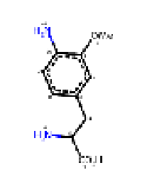 COc1cc(CC(N)C(=O)O)ccc1N